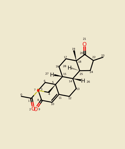 CC(=O)SC[C@]12CCC(=O)C=C1CC[C@@H]1[C@H]2CC[C@]2(C)C(=O)C(C)C[C@@H]12